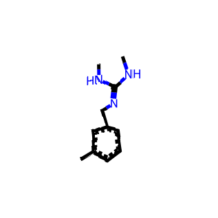 CNC(=NCc1cccc(C)c1)NC